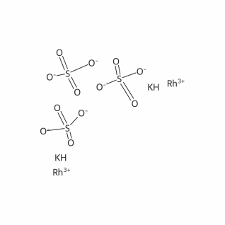 O=S(=O)([O-])[O-].O=S(=O)([O-])[O-].O=S(=O)([O-])[O-].[KH].[KH].[Rh+3].[Rh+3]